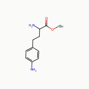 CC(C)(C)OC(=O)C(N)CCc1ccc(N)cc1